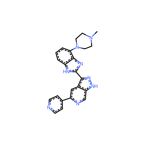 CN1CCN(c2cccc3[nH]c(-c4n[nH]c5cnc(-c6ccncc6)cc45)nc23)CC1